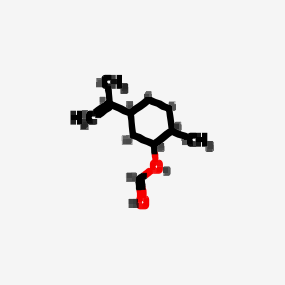 C=C(C)C1CCC(C)C(OC=O)C1